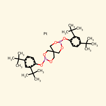 CC(C)(C)c1ccc(OP2OCC3(CO2)COP(Oc2ccc(C(C)(C)C)cc2C(C)(C)C)OC3)c(C(C)(C)C)c1.[Pt]